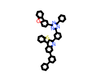 c1ccc(-c2cccc(-c3ccc4c(c3)nc(-c3cccc(-c5nc(-c6ccccc6)nc(-c6ccc7oc8ccccc8c7c6)n5)c3)c3sc5ccccc5c34)c2)cc1